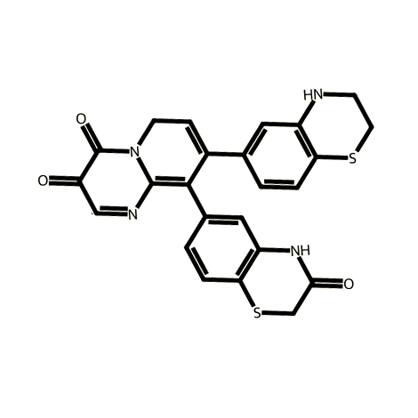 O=C1CSc2ccc(C3=C4N=[C]C(=O)C(=O)N4CC=C3c3ccc4c(c3)NCCS4)cc2N1